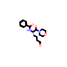 O=CCCC[C@H](NC(=O)c1ccccc1)C(=O)N1CCOCC1